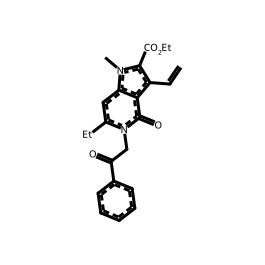 C=Cc1c(C(=O)OCC)n(C)c2cc(CC)n(CC(=O)c3ccccc3)c(=O)c12